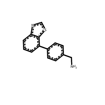 NCc1ccc(-c2cccc3ncsc23)cc1